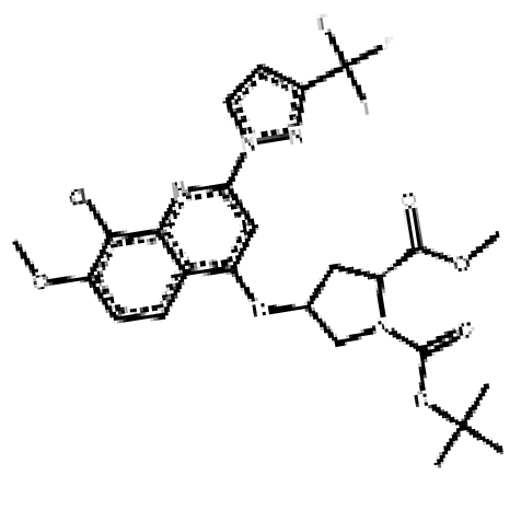 COC(=O)[C@@H]1C[C@H](Oc2cc(-n3ccc(C(F)(F)F)n3)nc3c(Cl)c(OC)ccc23)CN1C(=O)OC(C)(C)C